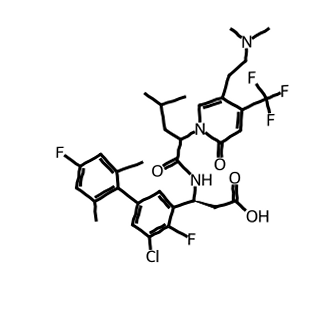 Cc1cc(F)cc(C)c1-c1cc(Cl)c(F)c([C@H](CC(=O)O)NC(=O)C(CC(C)C)n2cc(CCN(C)C)c(C(F)(F)F)cc2=O)c1